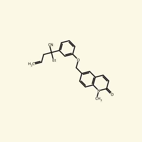 C=CCC(C#N)(CC)c1cccc(OCc2ccc3c(ccc(=O)n3C)c2)c1